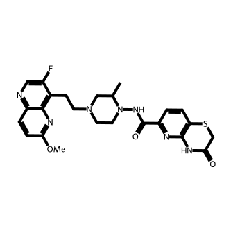 COc1ccc2ncc(F)c(CCN3CCN(NC(=O)c4ccc5c(n4)NC(=O)CS5)C(C)C3)c2n1